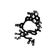 CCn1c(-c2cccnc2[C@H](C)OC)c2c3cc(ccc31)-c1cc(O)cc(c1)C[C@H](NC(=O)C(C(C)C)N(C)C(=O)CNC(=O)[C@H]1CN1)C(=O)N1CCC[C@H](N1)C(=O)OCC(C)(C)C2